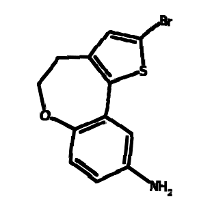 Nc1ccc2c(c1)-c1sc(Br)cc1CCO2